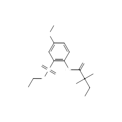 CCOS(=O)(=O)c1cc(OC)ccc1NC(=O)C(C)(C)CC